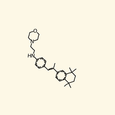 CC(=Cc1ccc(NCCN2CCOCC2)cc1)c1ccc2c(c1)C(C)(C)CCC2(C)C